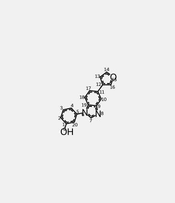 Oc1cccc(-n2cnc3cc(-c4ccoc4)ccc32)c1